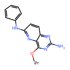 CC(C)Oc1nc(N)nc2ccc(Nc3ccccc3)nc12